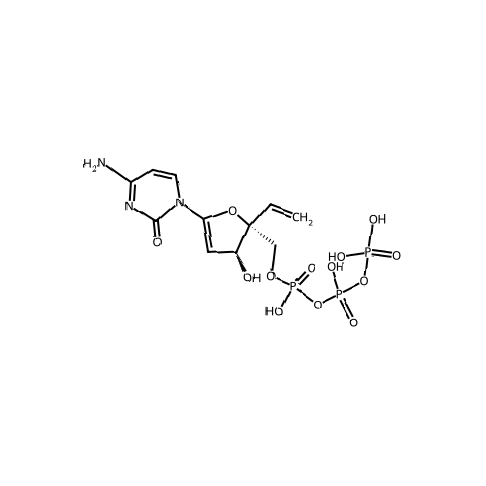 C=C[C@]1(COP(=O)(O)OP(=O)(O)OP(=O)(O)O)OC(n2ccc(N)nc2=O)=C[C@@H]1O